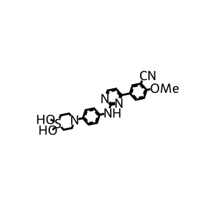 COc1ccc(-c2ccnc(Nc3ccc(N4CCS(O)(O)CC4)cc3)n2)cc1C#N